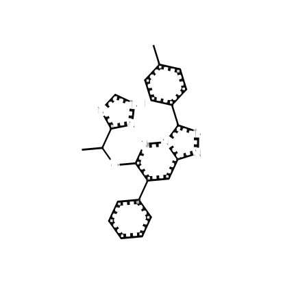 Cc1ccc(-c2nnc3cc(-c4ccccc4)c(OC(C)c4nc[nH]n4)nn23)cc1